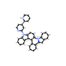 c1ccc(-c2ccnc(-n3c4ccccc4c4c5c6ccccc6c6cc7ccccc7n6c5ccc43)c2)nc1